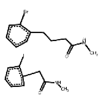 CNC(=O)CCCc1ccccc1Br.CNC(=O)Cc1ccccc1I